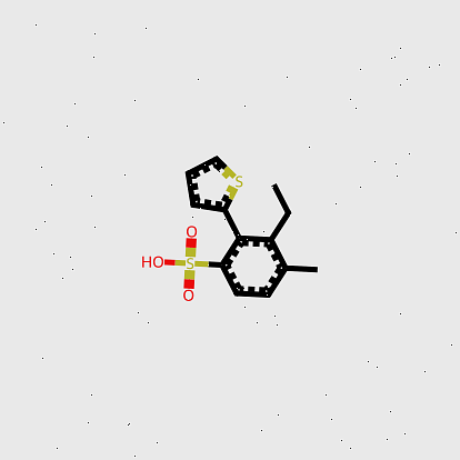 CCc1c(C)ccc(S(=O)(=O)O)c1-c1cccs1